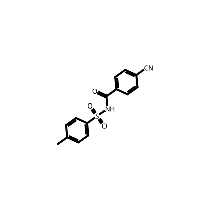 Cc1ccc(S(=O)(=O)NC(=O)c2ccc(C#N)cc2)cc1